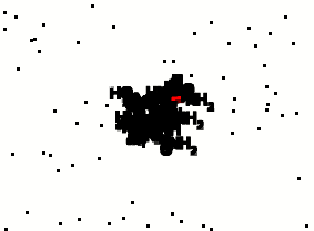 CCC(=O)N[C@@H](Cc1ccc(O)cc1)C(=O)NC(C(=O)N[C@@H](CCC(N)=O)C(=O)N[C@@H](CC(N)=O)C(=O)NC(CCC(C)=O)C(=O)N1CCCC1C(=O)NC(CC(C)C)C(=O)NCC(N)=O)C(C)CC